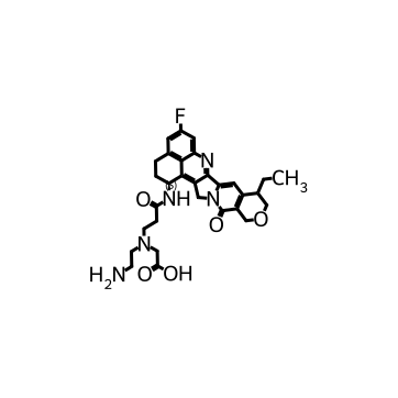 CCC1COCc2c1cc1n(c2=O)Cc2c-1nc1cc(F)cc3c1c2[C@@H](NC(=O)CCN(CCN)CC(=O)O)CC3